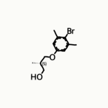 Cc1cc(OC[C@@H](C)CO)cc(C)c1Br